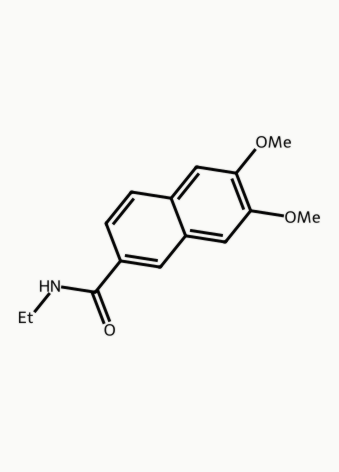 CCNC(=O)c1ccc2cc(OC)c(OC)cc2c1